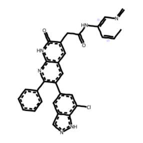 C=N/C=C(\C=C/C)NC(=O)Cc1cc2cc(-c3cc(Cl)c4[nH]ncc4c3)c(-c3ccccc3)nc2[nH]c1=O